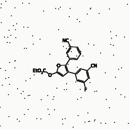 CCOC(=O)Oc1cc(-c2cc(F)cc(C#N)c2)c(-c2cccc(C#N)c2)o1